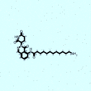 NCCCCCCCCCCCC(=O)Nc1cccc2cnn(C3CCC(=O)NC3=O)c(=O)c12